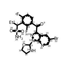 CCC(c1c(F)ccc(C(=O)c2nn(C3NCCO3)c3ncc(Br)cc23)c1F)S(N)(=O)=O